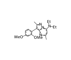 CCN(CC)c1cc(C)nc2c(-c3ccc(OC)cc3OC)c(C)nn12